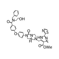 COC(=O)C1=C(CN2CCN3C(=O)N(c4ccc(Oc5ccc(C(=O)N(CCO)Cc6ccccc6)cc5)cc4)C[C@@H]3C2)NC(c2nccs2)=N[C@H]1C